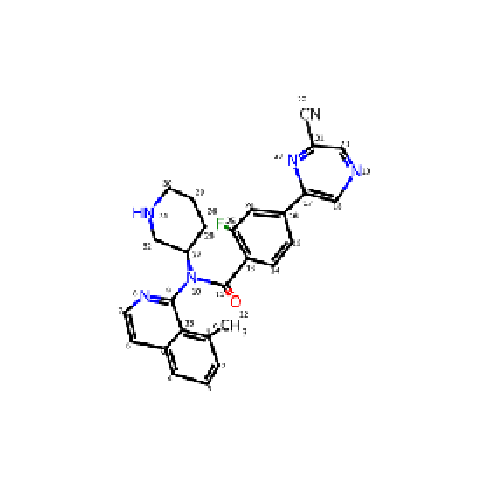 Cc1cccc2ccnc(N(C(=O)c3ccc(-c4cncc(C#N)n4)cc3F)[C@@H]3CCCNC3)c12